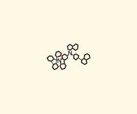 c1ccc(C2(n3c4ccccc4c4cc(N(c5ccc(-c6cccc7ccccc67)cc5)c5cccc6ccccc56)ccc43)c3ccccc3-c3ccccc32)cc1